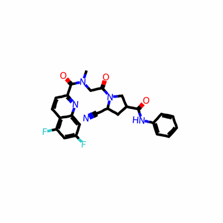 CN(CC(=O)N1CC(C(=O)Nc2ccccc2)CC1C#N)C(=O)c1ccc2c(F)cc(F)cc2n1